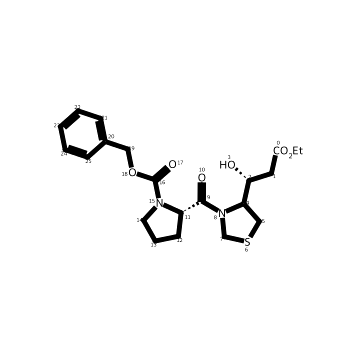 CCOC(=O)C[C@@H](O)C1CSCN1C(=O)[C@@H]1CCCN1C(=O)OCc1ccccc1